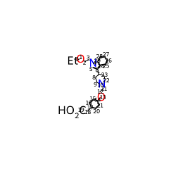 CCOCCn1cc(C2CCN(CCOc3ccc(CC(=O)O)cc3)CC2)c2ccccc21